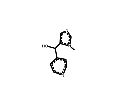 Cn1cncc1C(O)c1ccncc1